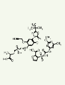 C#CCOc1cc(-n2nc(C(C)(C)C)oc2=O)c(Cl)cc1Cl.COc1nc(C)nc(NC(=O)NS(=O)(=O)c2ccsc2C(=O)O)n1.CP(=O)(O)CCC(N)C(=O)O